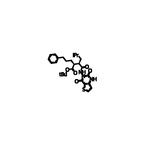 CC(C)C[C@@H](C(=O)Nn1c(=O)[nH]c2ccsc2c1=O)[C@H](CCCc1ccccc1)C(=O)OC(C)(C)C